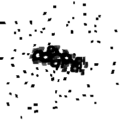 Cc1cc2c(c3c1C(c1ccc(C(C)C)cc1)CO3)CCCC2